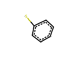 [S]c1cc[c]cc1